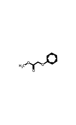 COC(=O)COc1ccccc1